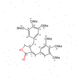 COc1cc(/C=C2/C(=O)OCC2Cc2cc(OC)c(OC)c(OC)c2)cc(OC)c1OC